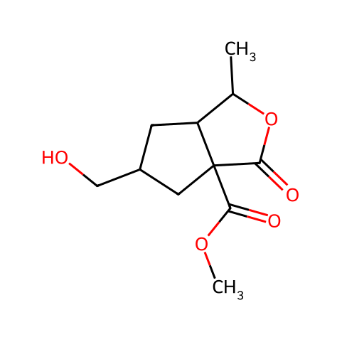 COC(=O)C12CC(CO)CC1C(C)OC2=O